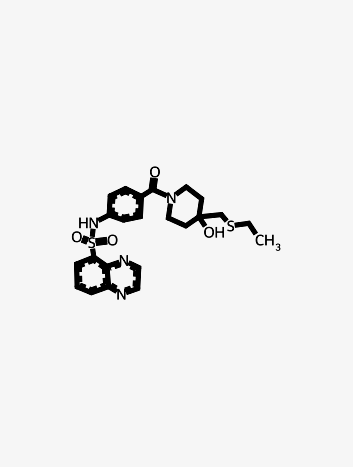 CCSCC1(O)CCN(C(=O)c2ccc(NS(=O)(=O)c3cccc4nccnc34)cc2)CC1